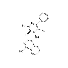 CCn1nc(-c2ccccc2)c(C(C)=O)c(Nc2cnc(O)c3ncccc23)c1=O